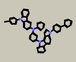 Cc1ccc(-n2c3ccccc3c3cc(N(c4ccccc4)c4cccc(-n5c6ccccc6c6ccc7c(ccn7-c7ccc(-c8ccccc8)cc7)c65)c4)ccc32)cc1